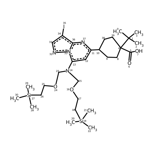 CC(C)(C)C1(C(=O)O)CCC(c2cc(N(COCC[Si](C)(C)C)COCC[Si](C)(C)C)n3ncc(I)c3n2)CC1